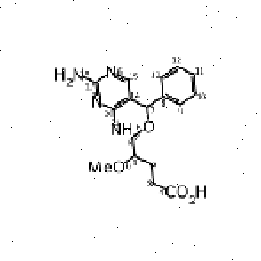 COC(CCC(=O)O)COC(c1ccccc1)c1cnc(N)nc1N